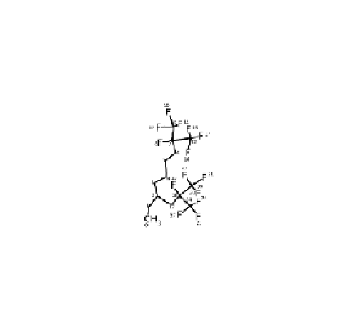 CCC(CCCCC(F)(C(F)(F)F)C(F)(F)F)CC(F)(C(F)(F)F)C(F)(F)F